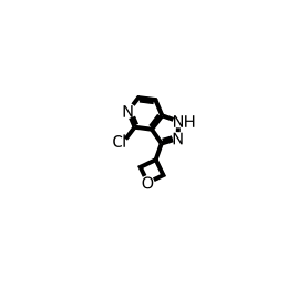 Clc1nccc2[nH]nc(C3COC3)c12